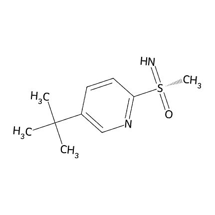 CC(C)(C)c1ccc([S@@](C)(=N)=O)nc1